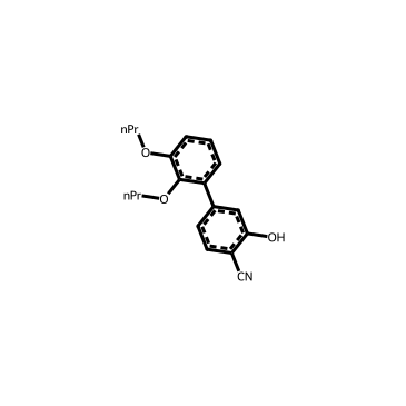 CCCOc1cccc(-c2ccc(C#N)c(O)c2)c1OCCC